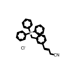 N#CCC=Cc1cccc(C[P+](c2ccccc2)(c2ccccc2)c2ccccc2)c1.[Cl-]